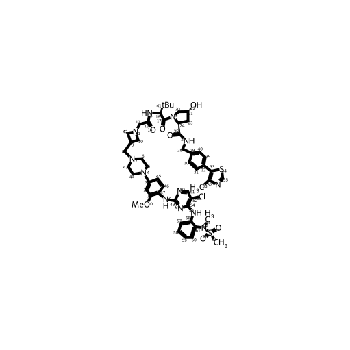 COc1cc(N2CCN(CC3CN(CC(=O)N[C@H](C(=O)N4C[C@H](O)C[C@H]4C(=O)NCc4ccc(-c5scnc5C)cc4)C(C)(C)C)C3)CC2)ccc1Nc1ncc(Cl)c(Nc2ccccc2N(C)S(C)(=O)=O)n1